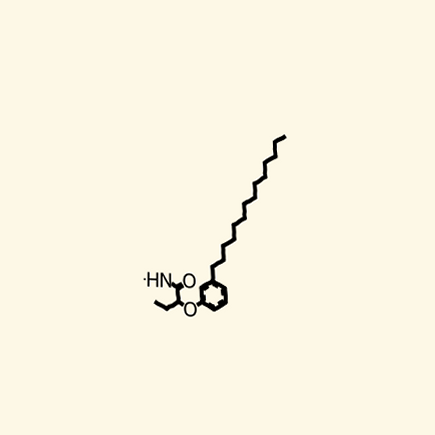 CCCCCCCCCCCCCCc1cccc(OC(CC)C([NH])=O)c1